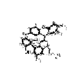 CCOC(=O)C[C@H](NC(=O)C(c1cccc(Br)c1)n1cc(Cl)c(C(F)(F)F)cc1=O)c1cc(-c2c(C)cccc2O)cc(C(F)(F)F)c1F